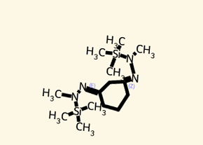 CN(/N=C1/CCC/C(=N\N(C)[Si](C)(C)C)C1)[Si](C)(C)C